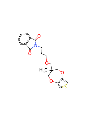 CC1(COCCCN2C(=O)c3ccccc3C2=O)COc2cscc2OC1